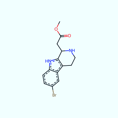 COC(=O)CC1NCCc2c1[nH]c1ccc(Br)cc21